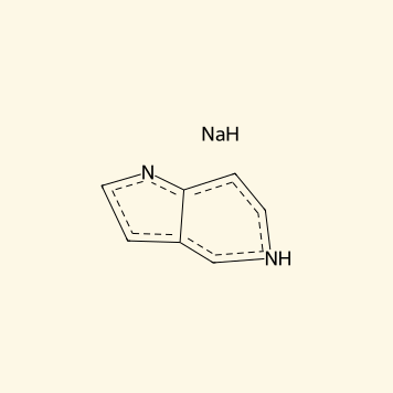 [NaH].c1cc2c[nH]ccc-2n1